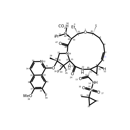 CC[C@@H]1O[C@H](C)CC/C=C\[C@@H]2C[C@@]2(C(=O)NS(=O)(=O)C2(C)CC2)NC(=O)[C@@H]2N(C[C@@](C)(Oc3nccc4cc(OC)c(F)cc34)C2(F)F)C(=O)[C@H]1N(C(=O)O)C(C)C